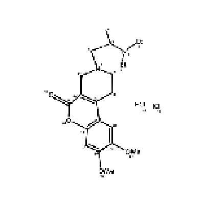 CCN(CC)C(C)CN1CCc2c(c(=O)oc3cc(OC)c(OC)cc23)C1.Cl.Cl